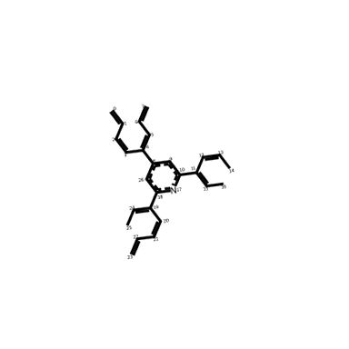 C=C/C=C\C(=C/C=C)c1cc(C(/C=C\C)=C/C)nc(C(/C=C\C=C)=C/C)c1